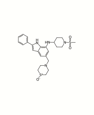 CS(=O)(=O)N1CCC(Nc2cc(CN3CC[S+]([O-])CC3)cc3cc(-c4ccccc4)[nH]c23)CC1